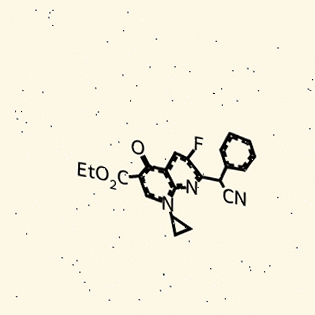 CCOC(=O)c1cn(C2CC2)c2nc(C(C#N)c3ccccc3)c(F)cc2c1=O